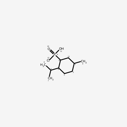 CC1CCC(C(C)C)C(P(=O)(O)Cl)C1